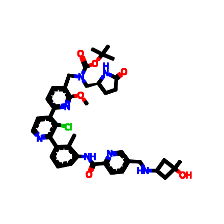 COc1nc(-c2ccnc(-c3cccc(NC(=O)c4ccc(CNC5CC(C)(O)C5)cn4)c3C)c2Cl)ccc1CN(C[C@@H]1CCC(=O)N1)C(=O)OC(C)(C)C